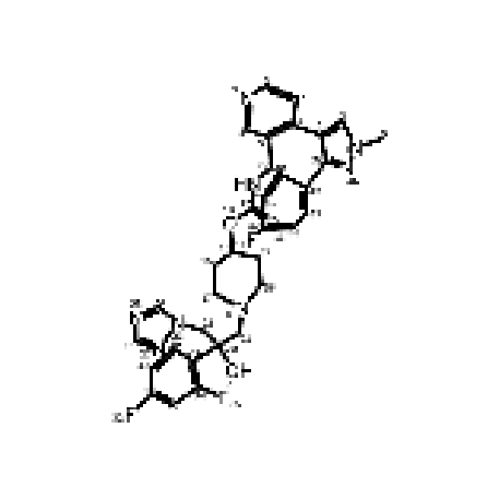 Cn1cc(-c2ccncc2CNC(=O)OC2CCN(CC(O)(Cn3cncn3)c3ccc(F)cc3F)CC2)c(-c2ccc(F)cc2)n1